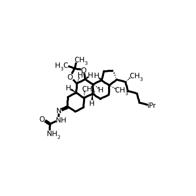 CC(C)CCC[C@@H](C)[C@H]1CC[C@H]2[C@@H]3[C@H]4OC(C)(C)O[C@@H]4[C@H]4C/C(=N/NC(N)=O)CC[C@]4(C)[C@H]3CC[C@]12C